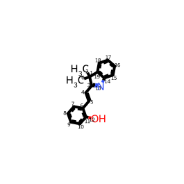 CC1(C)C(C=Cc2ccccc2O)=Nc2ccccc21